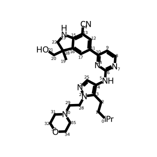 CC(C)CCc1c(Nc2nccc(-c3cc(C#N)c4c(c3)C(C)(CO)CN4)n2)cnn1CCN1CCOCC1